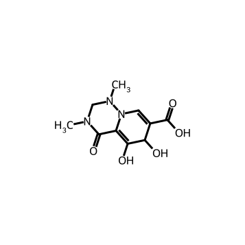 CN1CN(C)N2C=C(C(=O)O)C(O)C(O)=C2C1=O